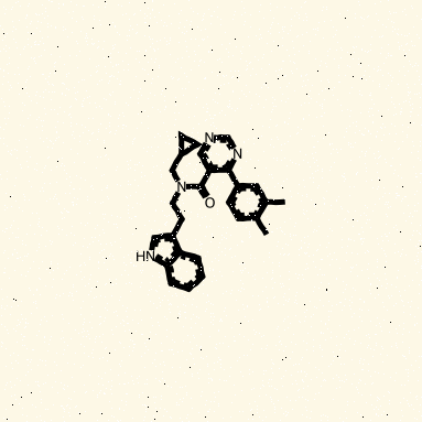 Cc1ccc(-c2ncncc2C(=O)N(CCc2c[nH]c3ccccc23)CC2CC2)cc1C